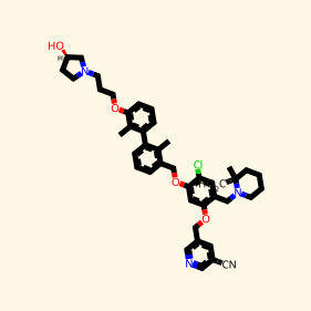 Cc1c(COc2cc(OCc3cncc(C#N)c3)c(CN3CCCCC3(C)C(=O)O)cc2Cl)cccc1-c1cccc(OCCCN2CC[C@@H](O)C2)c1C